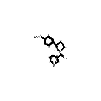 COc1ccc(C2=NN(C(=O)c3cccnc3)CCC2)cc1